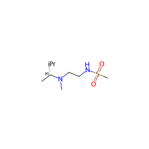 CC(C)[C@@H](C)N(C)CCNS(C)(=O)=O